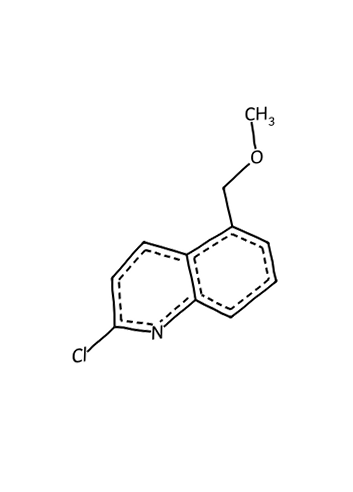 COCc1cccc2nc(Cl)ccc12